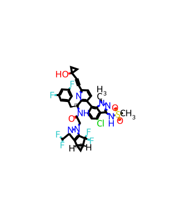 Cn1nc(NS(C)(=O)=O)c2c(Cl)ccc(-c3ccc(C#CC4(O)CC4)nc3[C@H](Cc3cc(F)cc(F)c3)NC(=O)Cn3nc(C(F)F)c4c3C(F)(F)[C@@H]3C[C@H]43)c21